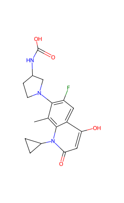 Cc1c(N2CCC(NC(=O)O)C2)c(F)cc2c(O)cc(=O)n(C3CC3)c12